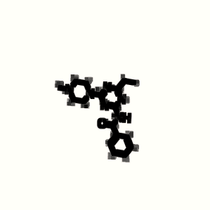 CCc1nc(NC(=O)c2ccccc2)nc(N2CCN(C)CC2)n1